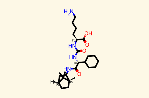 CC1(C)[C@@H]2CC[C@@]1(C)C(NC(=O)[C@H](NC(=O)N[C@@H](CCCCN)C(=O)O)C1CCCCC1)C2